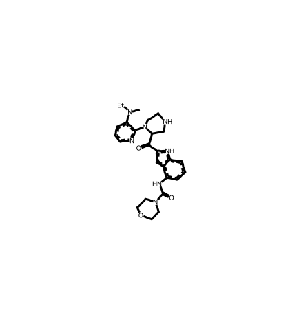 CCN(C)c1cccnc1N1CCNCC1C(=O)c1cc2c(NC(=O)N3CCOCC3)cccc2[nH]1